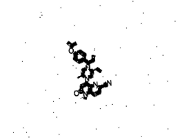 CCC(c1ccc(OC(C)C)cc1)N1C[C@H](C)N(c2cc(=O)n(C)c3ccc(C#N)nc23)C[C@@H]1CC